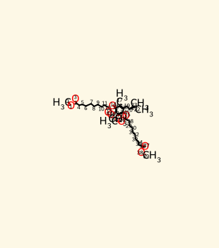 COC(=O)CCCCCCCCC(=O)Oc1c(C)c(CC=C(C)C)c(OC(=O)CCCCCCCCC(=O)OC)c(OC)c1OC